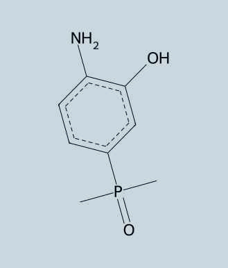 CP(C)(=O)c1ccc(N)c(O)c1